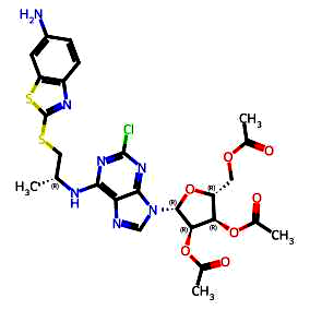 CC(=O)OC[C@H]1O[C@@H](n2cnc3c(N[C@H](C)CSc4nc5ccc(N)cc5s4)nc(Cl)nc32)[C@H](OC(C)=O)[C@@H]1OC(C)=O